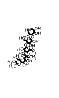 CCC(C)OC1C(CO)OC(C(CC)(CC)OC2C(CC)OC(OC3C(CO)OC(OC4C(O)CNCC(O)C4O)C(O)C3O)C(O)C2O)C(O)C1O